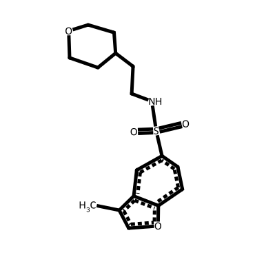 Cc1coc2ccc(S(=O)(=O)NCCC3CCOCC3)cc12